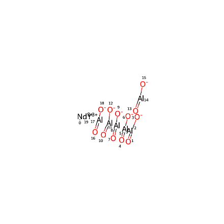 [Nd+3].[O]=[Al][O-].[O]=[Al][O-].[O]=[Al][O-].[O]=[Al][O-].[O]=[Al][O-].[O]=[Al][O-].[Y+3]